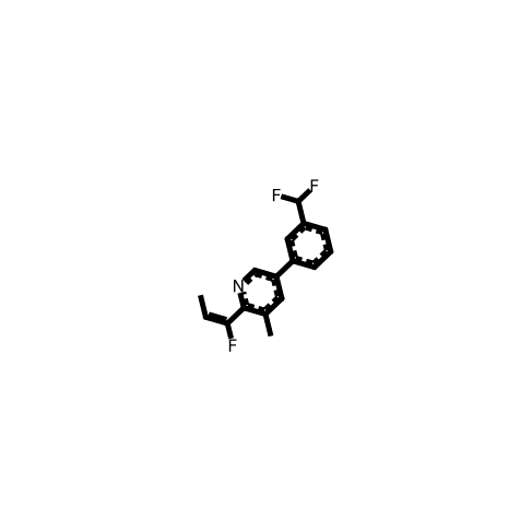 C/C=C(/F)c1ncc(-c2cccc(C(F)F)c2)cc1C